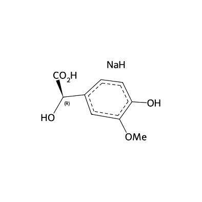 COc1cc([C@@H](O)C(=O)O)ccc1O.[NaH]